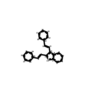 C(=C\c1sc2ccccc2c1/C=C/c1ccccc1)/c1ccccc1